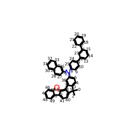 CC1(C)c2ccc(N(c3ccc(-c4cccc(-c5ccccc5)c4)cc3)c3ccc4ccccc4c3)cc2-c2c1ccc1c2oc2ccccc21